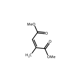 COC(=O)C=C(C)C(=O)OC